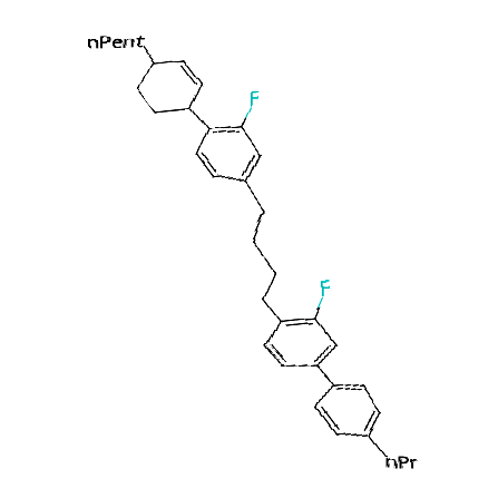 CCCCCC1C=CC(c2ccc(CCCCc3ccc(-c4ccc(CCC)cc4)cc3F)cc2F)CC1